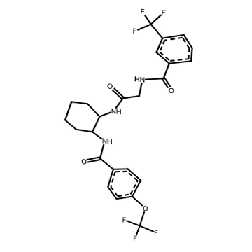 O=C(CNC(=O)c1cccc(C(F)(F)F)c1)NC1CCCCC1NC(=O)c1ccc(OC(F)(F)F)cc1